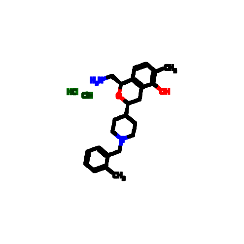 Cc1ccccc1CN1CCC([C@@H]2Cc3c(ccc(C)c3O)[C@H](CN)O2)CC1.Cl.Cl